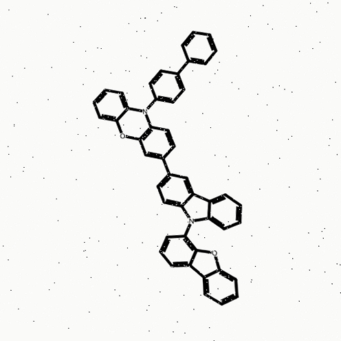 c1ccc(-c2ccc(N3c4ccccc4Oc4cc(-c5ccc6c(c5)c5ccccc5n6-c5cccc6c5oc5ccccc56)ccc43)cc2)cc1